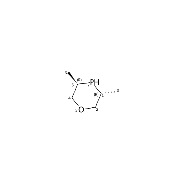 C[C@@H]1COC[C@@H](C)P1